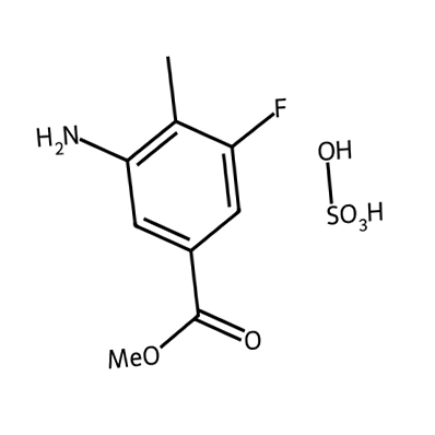 COC(=O)c1cc(N)c(C)c(F)c1.O=S(=O)(O)O